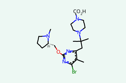 Cc1c(Br)nc(OC[C@@H]2CCCN2C)nc1CC(C)(C)N1CCN(C(=O)O)CC1